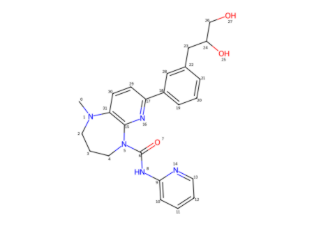 CN1CCCN(C(=O)Nc2ccccn2)c2nc(-c3cccc(CC(O)CO)c3)ccc21